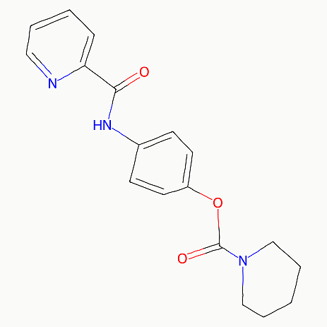 O=C(Nc1ccc(OC(=O)N2CCCCC2)cc1)c1ccccn1